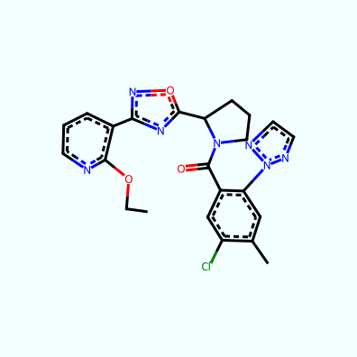 CCOc1ncccc1-c1noc(C2CCCN2C(=O)c2cc(Cl)c(C)cc2-n2nccn2)n1